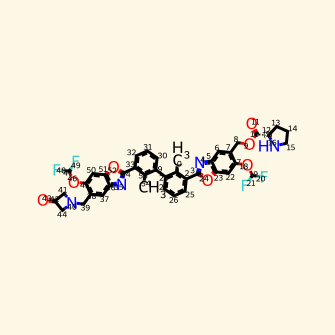 Cc1c(-c2nc3cc(COC(=O)[C@@H]4CCCN4)c(OC(F)F)cc3o2)cccc1-c1cccc(-c2nc3cc(CN4CC(=O)C4)c(OC(F)F)cc3o2)c1C